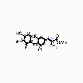 COC(=O)/C(C)=C/c1cc(Cl)c(Cc2ccc(O)c(C(C)C)c2F)c(Cl)c1